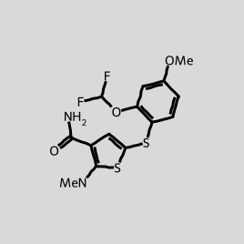 CNc1sc(Sc2ccc(OC)cc2OC(F)F)cc1C(N)=O